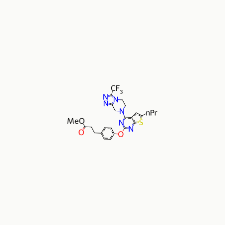 CCCc1cc2c(N3CCn4c(nnc4C(F)(F)F)C3)nc(Oc3ccc(CCC(=O)OC)cc3)nc2s1